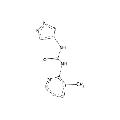 Cc1cccnc1NC(=O)Nc1cnns1